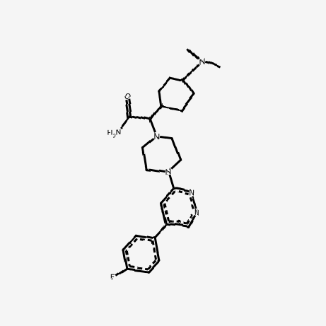 CN(C)C1CCC(C(C(N)=O)N2CCN(c3cc(-c4ccc(F)cc4)cnn3)CC2)CC1